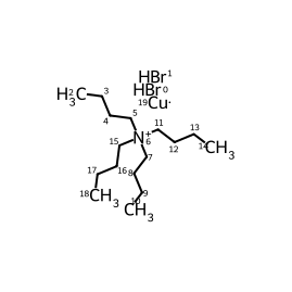 Br.Br.CCCC[N+](CCCC)(CCCC)CCCC.[Cu]